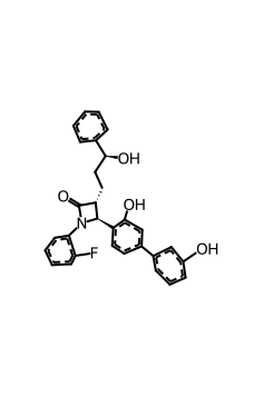 O=C1[C@H](CC[C@H](O)c2ccccc2)[C@@H](c2ccc(-c3cccc(O)c3)cc2O)N1c1ccccc1F